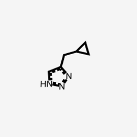 c1[nH]nnc1CC1CC1